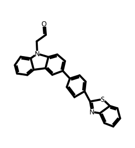 O=CCn1c2ccccc2c2cc(-c3ccc(-c4nc5ccccc5s4)cc3)ccc21